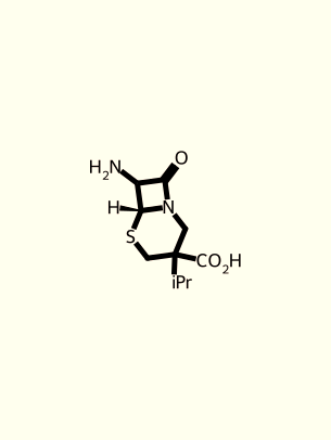 CC(C)C1(C(=O)O)CS[C@@H]2C(N)C(=O)N2C1